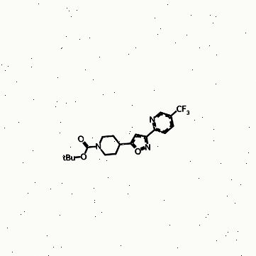 CC(C)(C)OC(=O)N1CCC(c2cc(-c3ccc(C(F)(F)F)cn3)no2)CC1